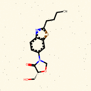 N#CCCCc1nc2ccc(N3CO[C@H](CO)C3=O)cc2s1